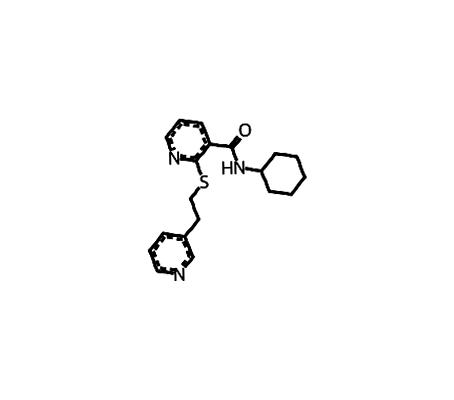 O=C(NC1CCCCC1)c1cccnc1SCCc1cccnc1